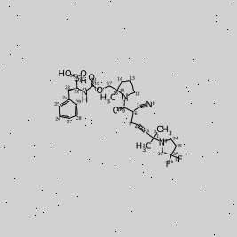 CC(C)(C#CCC(C#N)C(=O)N1CCC[C@]1(C)COC(=O)N[C@@H](Cc1ccccc1)B(O)O)N1CCC(F)(F)C1